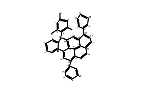 Cc1cc(C)c(B2c3ccccc3-c3cc(-c4ccccc4)c4ccc5ccc(-c6ccccc6)c6cc2c3c4c56)c(C)c1